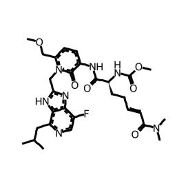 COCc1ccc(NC(=O)[C@H](CC/C=C/C(=O)N(C)C)NC(=O)OC)c(=O)n1Cc1nc2c(F)cnc(CC(C)C)c2[nH]1